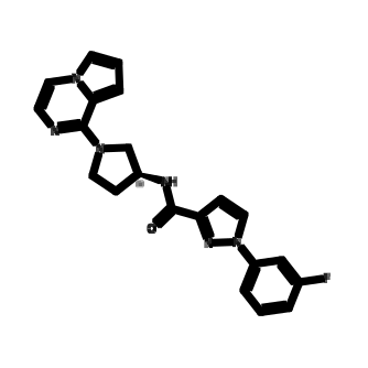 O=C(N[C@H]1CCN(c2nccn3cccc23)C1)c1ccn(-c2cccc(F)c2)n1